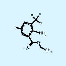 C=C(OCC)c1cc(F)cc(C(F)(F)F)c1N